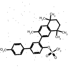 Cc1cc2c(cc1-c1cc(-c3ccc(C(=O)O)cc3)ccc1OS(=O)(=O)C(F)(F)F)C(C)(C)CCC2(C)C